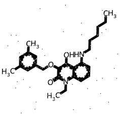 CCCCCCNc1cccc2c1c(O)c(OCc1cc(C)cc(C)c1)c(=O)n2CC